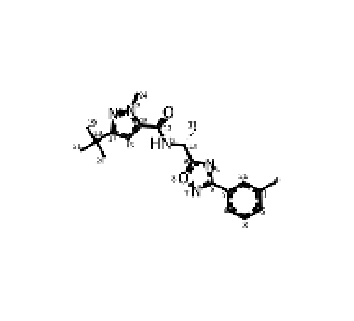 Cc1cccc(-c2noc([C@@H](C)NC(=O)c3cc(C(C)(C)C)nn3C)n2)c1